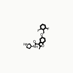 Cc1oc2ccc(OCc3c(F)cccc3F)cc2c1C(=O)N[C@H]1CCNC1